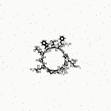 C[C@@H](O)[C@@H]1NC(=O)[C@@H](NC(=O)[C@H](CS)NC(=O)CN)Cc2cn(nn2)CCCC(C(=O)N[C@@H](Cc2ccccc2)C(=O)O)NC(=O)[C@H](CCC(N)=O)NC(=O)[C@H](Cc2c[nH]c3ccccc23)NC(=O)[C@H](CCCNC(N)=O)NC(=O)[C@H](CS)NC(=O)[C@H](CCCNC(=N)N)NC(=O)[C@@H]2CCCN2C(=O)[C@H](CC(=O)O)NC1=O